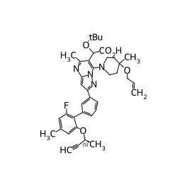 C#C[C@H](C)Oc1cc(C)cc(F)c1-c1cccc(-c2cc3nc(C)c(C(OC(C)(C)C)C(=O)O)c(N4CCC(C)(OCC=C)CC4)n3n2)c1